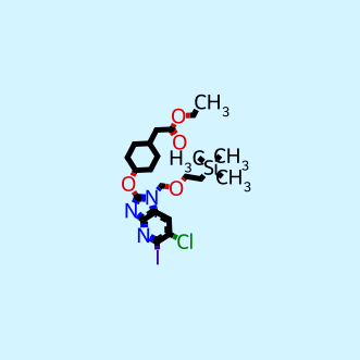 CCOC(=O)CC1CCC(Oc2nc3nc(I)c(Cl)cc3n2COCC[Si](C)(C)C)CC1